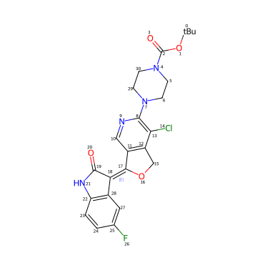 CC(C)(C)OC(=O)N1CCN(c2ncc3c(c2Cl)CO/C3=C2/C(=O)Nc3ccc(F)cc32)CC1